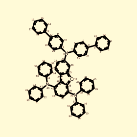 c1ccc(-c2ccc(N(c3ccc(-c4ccccc4)cc3)c3ccc4c(c3)oc3c(N(c5ccccc5)c5ccccc5)ccc(N(c5ccccc5)c5ccccc5)c34)cc2)cc1